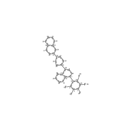 Fc1c(F)c(F)c(-c2ccc(-c3ccc(-c4ccc5ccccc5c4)cc3)c3ccccc23)c(F)c1F